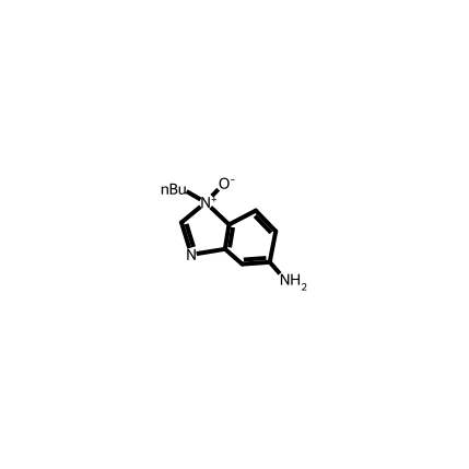 CCCC[N+]1([O-])C=Nc2cc(N)ccc21